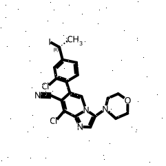 C[C@@H](I)c1ccc(-c2cn3c(N4CCOCC4)cnc3c(Cl)c2C#N)c(Cl)c1